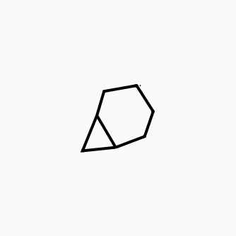 [CH]1CCC2CC2C1